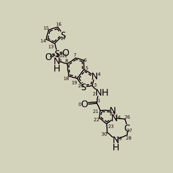 O=C(Nc1nc2ccc(NS(=O)(=O)c3cccs3)cc2s1)c1cc2n(n1)CCCNC2